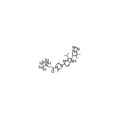 [2H]C([2H])([2H])N(CCC(=O)N1C[C@H](C)N(c2ccc3[nH]c(-c4cn5ncnc5c(C)c4C)c(C(C)C)c3n2)C[C@H]1C)C([2H])([2H])[2H]